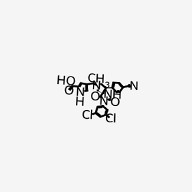 CC(c1c[nH]c(C(=O)O)c1)N1C[C@@H](c2ccc(C#N)cc2)[C@@]2(C1)NC(=O)N(c1cc(Cl)cc(Cl)c1)C2=O